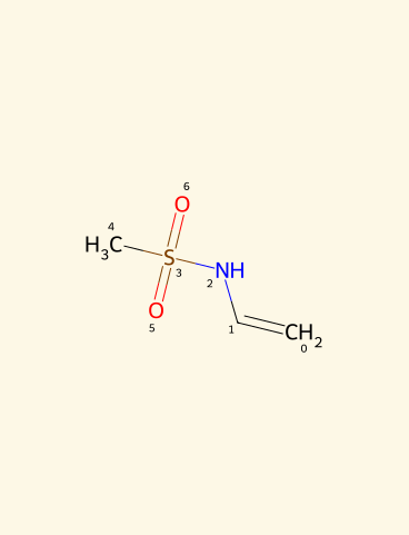 C=CNS(C)(=O)=O